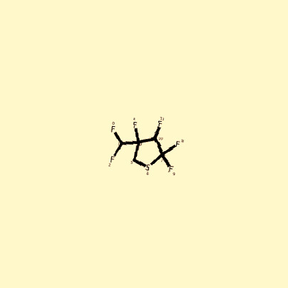 FC(F)C1(F)CSC(F)(F)C1F